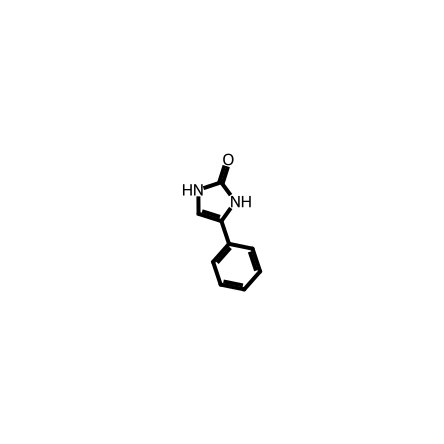 O=c1[nH]cc(-c2ccccc2)[nH]1